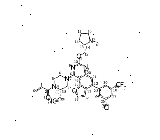 C=CC(=O)N1CCN(c2nc(OC[C@@H]3CCCN3C)nc3cc(-c4cc(Cl)cc(C(F)(F)F)c4)c4ccoc4c23)C[C@@H]1CC#N